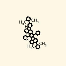 Cc1cccc(C)c1C1=C[C@H]2C(C=C1)C1=Cc3c(-c4ccccc4)c4c(c(-c5ccccn5)c3[C@H]3C=CCC2C13)-c1cccc2c(-c3c(C)cccc3C)ccc-4c12